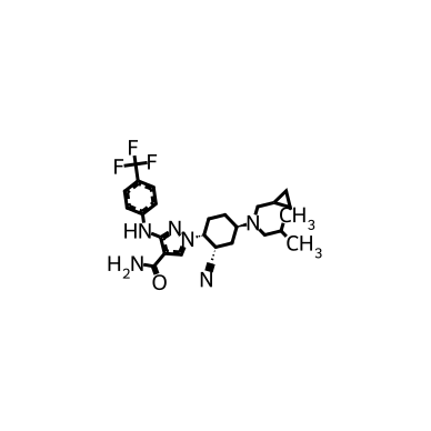 CC(C)CN(CC1CC1)[C@@H]1CC[C@@H](n2cc(C(N)=O)c(Nc3ccc(C(F)(F)F)cc3)n2)[C@@H](C#N)C1